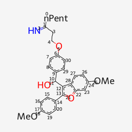 CCCCCC(=N)CCOc1ccc(C(O)c2c(-c3ccc(OC)cc3)oc3cc(OC)ccc23)cc1